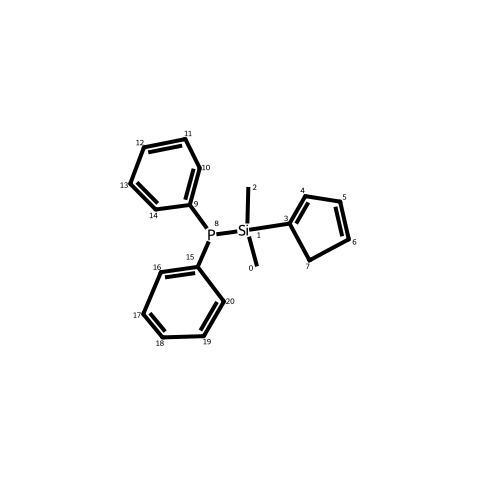 C[Si](C)(C1=CC=CC1)P(c1ccccc1)c1ccccc1